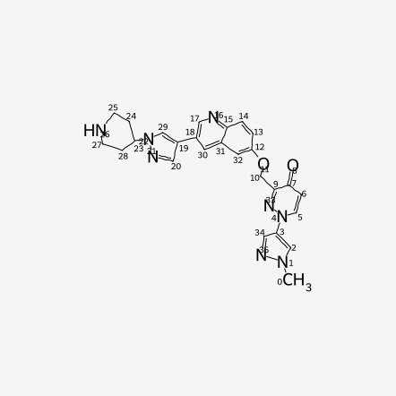 Cn1cc(-n2ccc(=O)c(COc3ccc4ncc(-c5cnn(C6CCNCC6)c5)cc4c3)n2)cn1